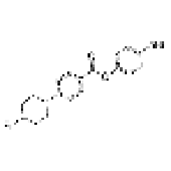 CCCCc1ccc(OC(=O)c2ccc(C3CCC(CC)CC3)cc2)cc1